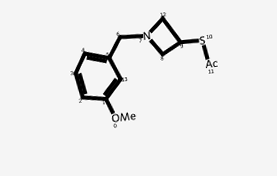 COc1cccc(CN2CC(SC(C)=O)C2)c1